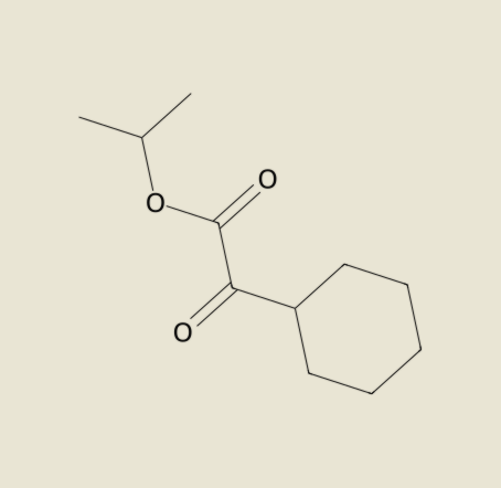 CC(C)OC(=O)C(=O)C1CCCCC1